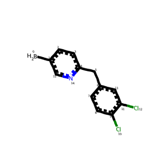 Bc1ccc(Cc2ccc(Cl)c(Cl)c2)nc1